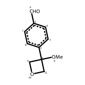 COC1(c2ccc(C=O)cc2)COC1